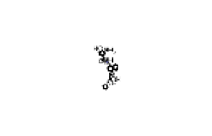 Nc1cc(C(=O)N/N=C/c2ccc(OCC(O)CNC3CCCCC3)c3ccccc23)ccc1O